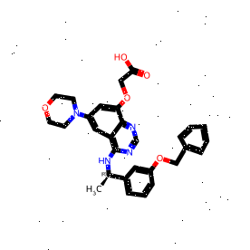 C[C@@H](Nc1ncnc2c(OCC(=O)O)cc(N3CCOCC3)cc12)c1cccc(OCc2ccccc2)c1